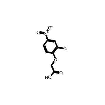 O=C(O)COc1ccc([N+](=O)[O-])cc1Cl